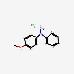 COc1ccc(N(N)c2ccccc2)cc1.Cl